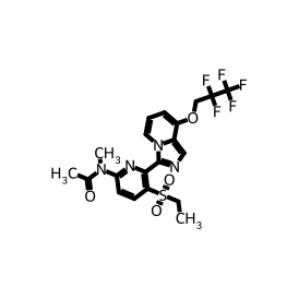 CCS(=O)(=O)c1ccc(N(C)C(C)=O)nc1-c1ncc2c(OCC(F)(F)C(F)(F)F)cccn12